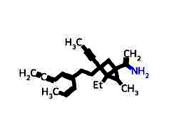 C=C=C/C=C(\C=C/C)CCC1(C#CC)CC2(C(=C)N)C(C)C12CC